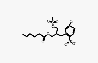 CCCCCC(=O)OCC(COS(C)(=O)=O)Cc1cc(Cl)ccc1[N+](=O)[O-]